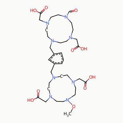 CON1CCN(CC(=O)O)CCN(Cc2cccc(CN3CCN(CC(=O)O)CCN(C=O)CCN(CC(=O)O)CC3)c2)CCN(CC(=O)O)CC1